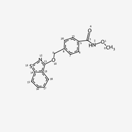 CONC(=O)c1ccc(COc2nsc3ccccc23)cc1